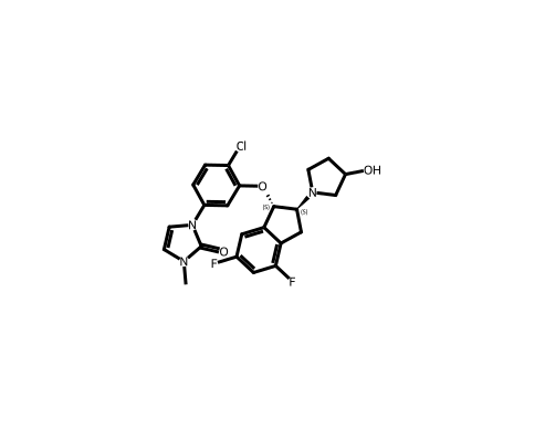 Cn1ccn(-c2ccc(Cl)c(O[C@H]3c4cc(F)cc(F)c4C[C@@H]3N3CCC(O)C3)c2)c1=O